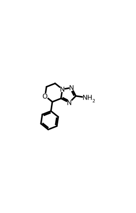 Nc1nc2n(n1)CCOC2c1ccccc1